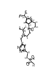 C[C@H]1C[C@@]2(CCN1Cc1cn(CCS(C)(=O)=O)nn1)OCCc1sc(C(F)F)cc12